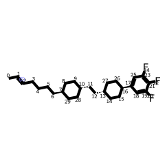 C/C=C/CCCC[C@H]1CC[C@H](CC[C@H]2CC[C@H](c3cc(F)c(F)c(F)c3)CC2)CC1